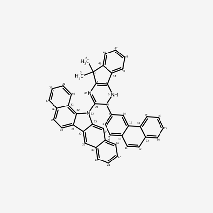 CC1(C)C2=C(NC(c3ccc4ccc5ccccc5c4c3)C(n3c4cc5ccccc5cc4c4ccc5ccccc5c43)=N2)c2ccccc21